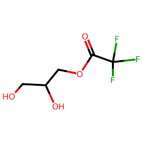 O=C(OCC(O)CO)C(F)(F)F